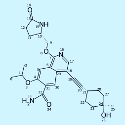 CC(C)Oc1cc2c(OC[C@@H]3CCC(=O)N3)ncc(C#C[C@H]3CC[C@](C)(O)CC3)c2cc1C(N)=O